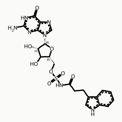 Nc1nc2c(ncn2[C@@H]2O[C@H](COS(=O)(=O)NC(=O)CCc3c[nH]c4ccccc34)C(O)[C@@H]2O)c(=O)[nH]1